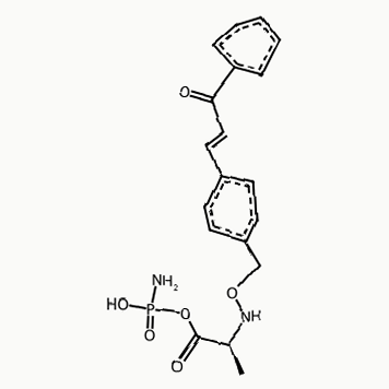 C[C@H](NOCc1ccc(C=CC(=O)c2ccccc2)cc1)C(=O)OP(N)(=O)O